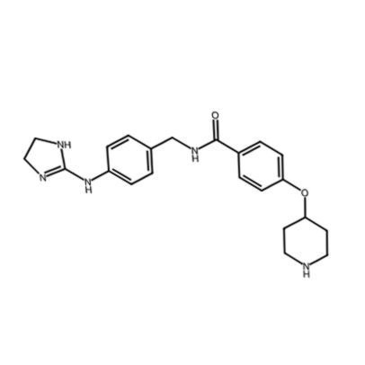 O=C(NCc1ccc(NC2=NCCN2)cc1)c1ccc(OC2CCNCC2)cc1